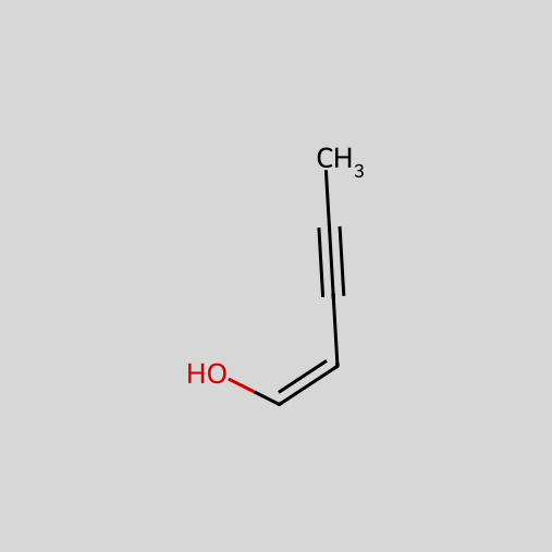 CC#C/C=C\O